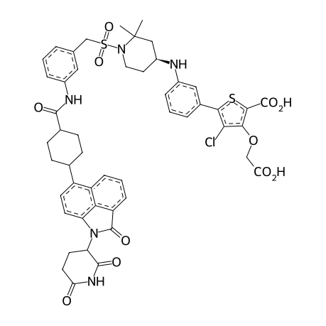 CC1(C)C[C@@H](Nc2cccc(-c3sc(C(=O)O)c(OCC(=O)O)c3Cl)c2)CCN1S(=O)(=O)Cc1cccc(NC(=O)C2CCC(c3ccc4c5c(cccc35)C(=O)N4C3CCC(=O)NC3=O)CC2)c1